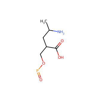 CC(N)CC(COP=O)C(=O)O